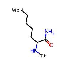 CCNC(CCCCNC)C(N)=O